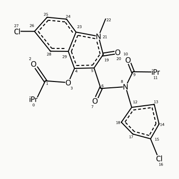 CC(C)C(=O)Oc1c(C(=O)N(C(=O)C(C)C)c2ccc(Cl)cc2)c(=O)n(C)c2ccc(Cl)cc12